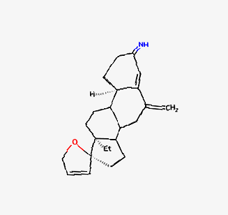 C=C1CC2C(CC[C@@]3(CC)C2CC[C@@]32C=CCO2)[C@H]2CCC(=N)C=C12